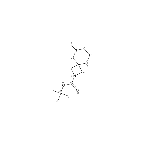 CN1CCOC2(C1)CN(C(=O)OC(C)(C)C)C2